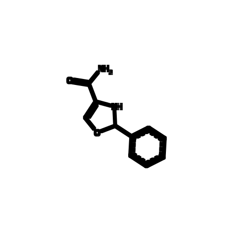 NC(=O)C1=COC(c2ccccc2)N1